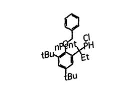 CCCCCC(CC)(PCl)c1cc(C(C)(C)C)cc(C(C)(C)C)c1OCc1ccccc1